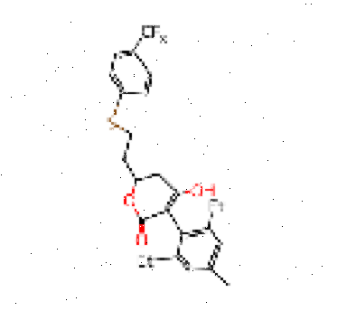 CCc1cc(C)cc(CC)c1C1=C(O)CC(CCSc2ccc(C(F)(F)F)cc2)OC1=O